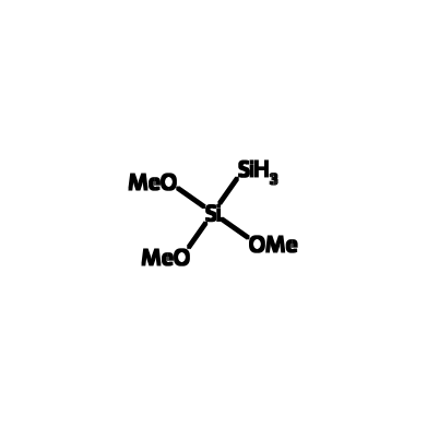 CO[Si]([SiH3])(OC)OC